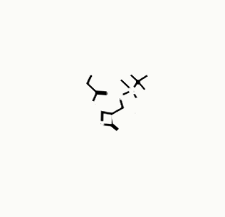 C[C@@H](O[Si](C)(C)C(C)(C)C)[C@H]1C(=O)N[C@@H]1CC(=O)CI